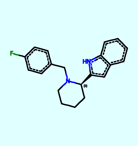 Fc1ccc(CN2CCCC[C@@H]2c2cc3ccccc3[nH]2)cc1